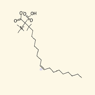 CCCCCCCC/C=C\CCCCCCCC(C)(C)C(C(=O)[O-])([N+](C)(C)C)S(=O)(=O)O